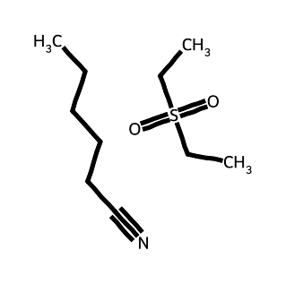 CCCCCC#N.CCS(=O)(=O)CC